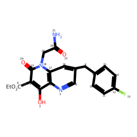 CCOC(=O)c1c(O)c2ncc(Cc3ccc(F)cc3)cc2n(CC(N)=O)c1=O